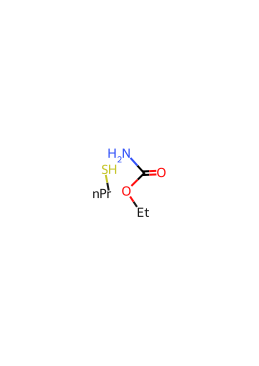 CCCS.CCOC(N)=O